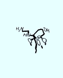 CCCC1(OC)C(NCCN)CCC[Si]1(OC)OC.CO